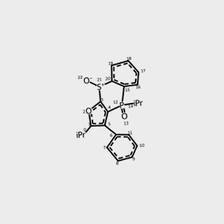 CC(C)c1oc2c(c1-c1ccccc1)P(=O)(C(C)C)c1ccccc1[S+]2[O-]